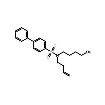 C=CCCN(CCCCO)S(=O)(=O)c1ccc(-c2ccccc2)cc1